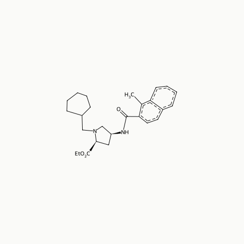 CCOC(=O)[C@@H]1C[C@H](NC(=O)c2ccc3ccccc3c2C)CN1CC1CCCCC1